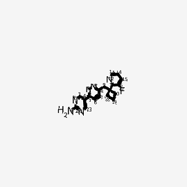 Nc1ncc(-c2ccc([CH]C3(c4ncccc4F)CCC3)nn2)cn1